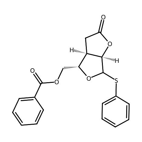 O=C1C[C@@H]2[C@@H](COC(=O)c3ccccc3)OC(Sc3ccccc3)[C@@H]2O1